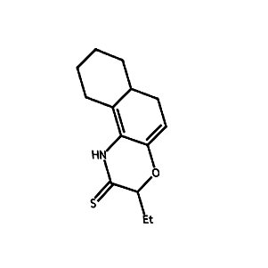 CCC1OC2=CCC3CCCCC3=C2NC1=S